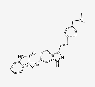 CN(C)Cc1ccc(C=Cc2n[nH]c3cc([C@@H]4C[C@@]45C(=O)Nc4ccccc45)ccc23)cc1